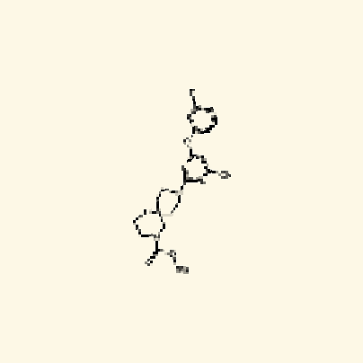 CC(C)(C)OC(=O)N1CCOC2(CCN(c3nc(C#N)cc(Oc4cccc(F)c4)n3)CC2)C1